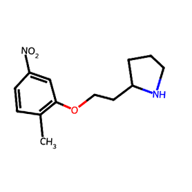 Cc1ccc([N+](=O)[O-])cc1OCCC1CCCN1